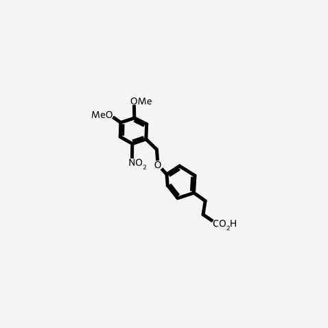 COc1cc(COc2ccc(CCC(=O)O)cc2)c([N+](=O)[O-])cc1OC